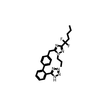 CCCCC(F)(F)c1nc(Cc2ccc(-c3ccccc3-c3nnn[nH]3)cc2)n(CCC)n1